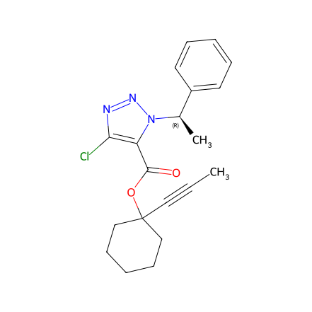 CC#CC1(OC(=O)c2c(Cl)nnn2[C@H](C)c2ccccc2)CCCCC1